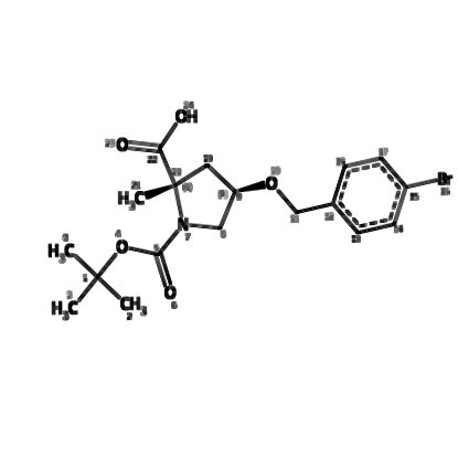 CC(C)(C)OC(=O)N1C[C@H](OCc2ccc(Br)cc2)C[C@@]1(C)C(=O)O